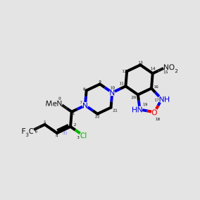 CNC(/C(Cl)=C\CC(F)(F)F)N1CCN(C2CCC([N+](=O)[O-])C3NONC32)CC1